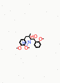 COc1ccc(CC(C)[C@@H](N)[C@H](O)c2ccccc2OC)cc1OC